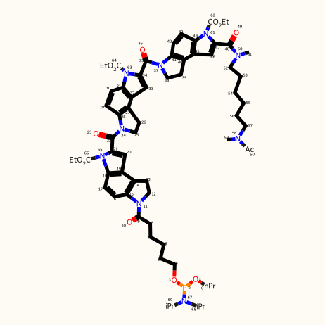 CCCOP(OCCCCCC(=O)N1CCc2c1ccc1c2cc(C(=O)N2CCc3c2ccc2c3cc(C(=O)N3CCc4c3ccc3c4cc(C(=O)N(C)CCCCCCN(C)C(C)=O)n3C(=O)OCC)n2C(=O)OCC)n1C(=O)OCC)N(C(C)C)C(C)C